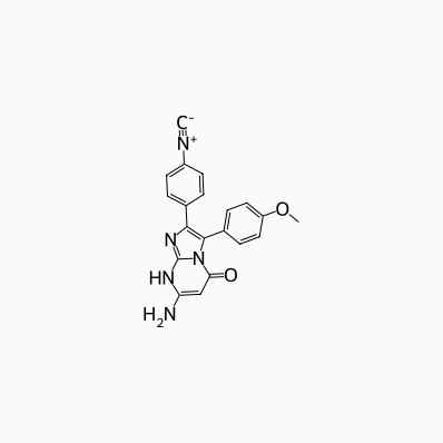 [C-]#[N+]c1ccc(-c2nc3[nH]c(N)cc(=O)n3c2-c2ccc(OC)cc2)cc1